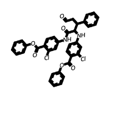 O=CCC(c1ccccc1)C(Nc1ccc(C(=O)Oc2ccccc2)c(Cl)c1)C(=O)Nc1ccc(C(=O)Oc2ccccc2)c(Cl)c1